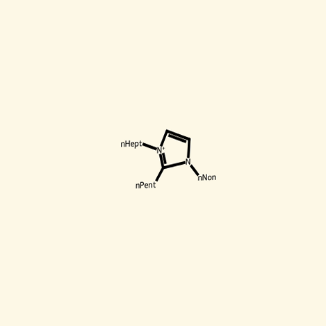 CCCCCCCCCn1cc[n+](CCCCCCC)c1CCCCC